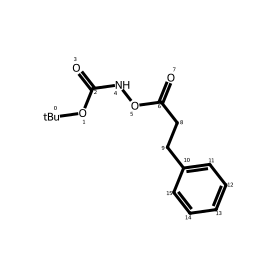 CC(C)(C)OC(=O)NOC(=O)CCc1ccccc1